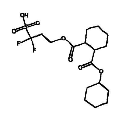 O=C(OCCC(F)(F)S(=O)(=O)O)C1CCCCC1C(=O)OC1CCCCC1